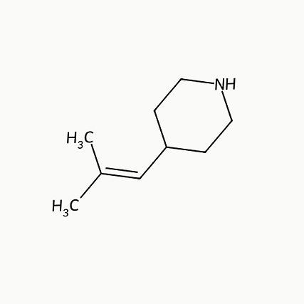 CC(C)=CC1CCNCC1